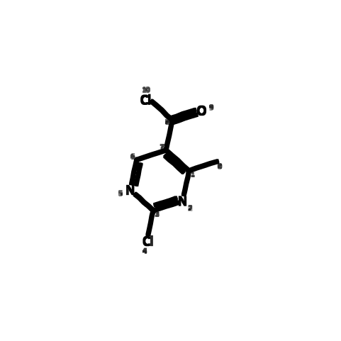 Cc1nc(Cl)ncc1C(=O)Cl